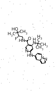 CC(C)(C)Nc1cc(Nc2ccn3nccc3c2)ncc1C(=O)NC[C@@H](F)C(C)(C)O